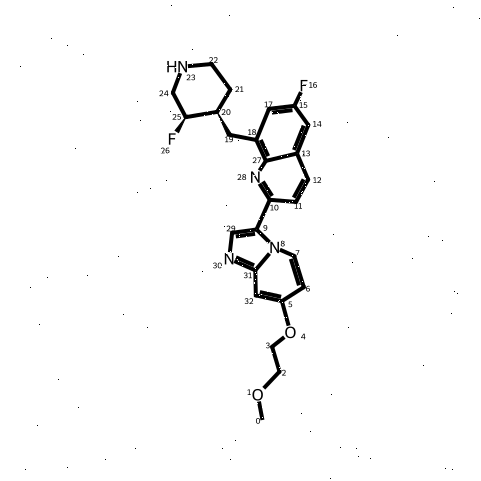 COCCOc1ccn2c(-c3ccc4cc(F)cc(C[C@@H]5CCNC[C@@H]5F)c4n3)cnc2c1